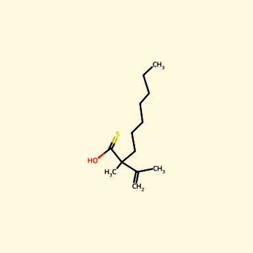 C=C(C)C(C)(CCCCCCC)C(O)=S